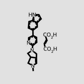 CN1C=C2CN(c3ccc(-c4ccc5[nH]ccc5c4)cn3)CC2C1.O=C(O)C=CC(=O)O